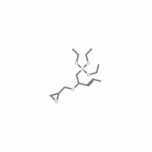 CC=CC(C[Si](OCC)(OCC)OCC)OCC1CO1